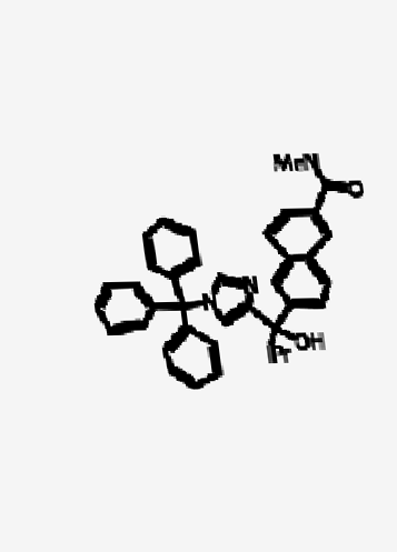 CNC(=O)c1ccc2cc(C(O)(c3cn(C(c4ccccc4)(c4ccccc4)c4ccccc4)cn3)C(C)C)ccc2c1